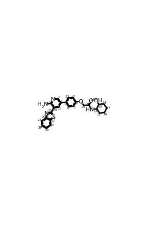 Nc1ncc(-c2ccc(OCC(=O)NC3CCCCC3O)cc2)cc1-c1nc2ccccc2s1